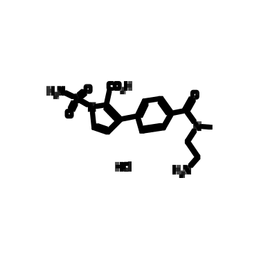 CN(CCN)C(=O)c1ccc(-c2ccn(S(N)(=O)=O)c2C(=O)O)cc1.Cl